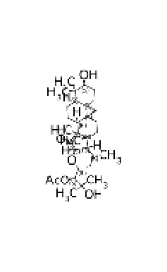 CC(=O)O[C@@H]([C@H]1C[C@@H](C)[C@@H]2[C@H](O1)[C@H](O)[C@@]1(C)[C@@H]3CC[C@H]4C(C)(C)[C@@H](O)CC[C@@]45C[C@@]35CC[C@]21C)C(C)(C)O